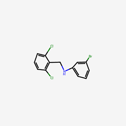 Clc1cccc(Cl)c1CNc1cccc(Br)c1